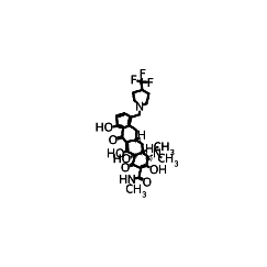 CNC(=O)C1=C(O)[C@@H](N(C)C)[C@@H]2C[C@@H]3Cc4c(CN5CCC(C(F)(F)F)CC5)ccc(O)c4C(=O)C3=C(O)[C@]2(O)C1=O